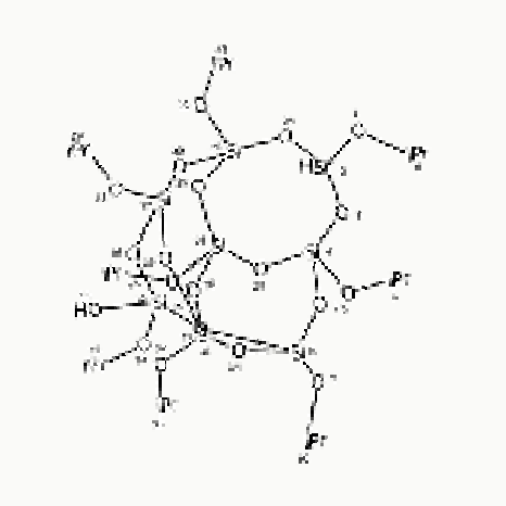 CC(C)O[SiH]1O[Si]2(OC(C)C)O[Si]3(OC(C)C)O[Si](O)(OC(C)C)O[Si]4(OC(C)C)O[Si](OC(C)C)(O1)O[Si](OC(C)C)(O2)O[Si](OC(C)C)(O3)O4